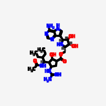 CCC(CC)[C@H](NC(C)=O)C1C(NC(=N)N)CC(C(=O)OC[C@@H]2N[C@@H](c3c[nH]c4c(N)ncnc34)[C@@H](O)[C@@H]2O)C1O